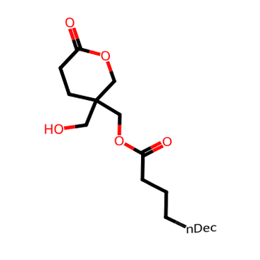 CCCCCCCCCCCCCC(=O)OCC1(CO)CCC(=O)OC1